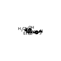 CC[C@@H](C(=O)N1C[C@H](O)C[C@H]1C(=O)NCc1ccc(-c2cncs2)cc1)c1cc(C)no1